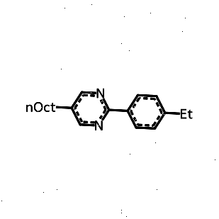 CCCCCCCCc1cnc(-c2ccc(CC)cc2)nc1